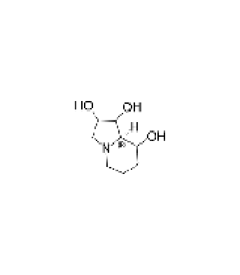 OC1CN2CCCC(O)[C@@H]2C1O